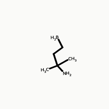 BCCC(C)(C)N